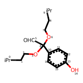 CC(C)CCOC(C=O)(OCCC(C)C)c1ccc(O)cc1